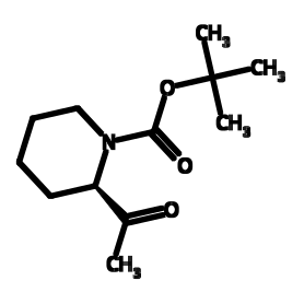 CC(=O)[C@H]1CCCCN1C(=O)OC(C)(C)C